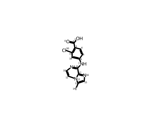 O=C(O)c1ccc(Nc2nccn3c(I)cnc23)cc1Cl